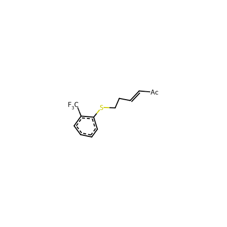 CC(=O)C=CCCSc1ccccc1C(F)(F)F